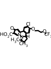 CC1(C)CC[C@@H]2c3cc(OCCCOC(F)(F)F)c(Cl)cc3-c3cc(=O)c(C(=O)O)cn3N21